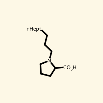 CCCCCCCCCCN1CCCC1C(=O)O